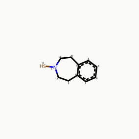 SN1CCc2ccccc2CC1